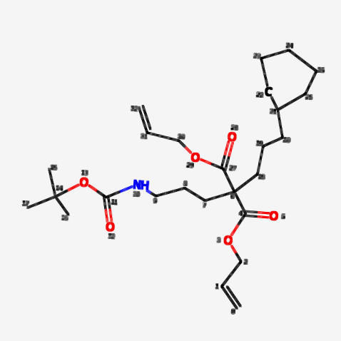 C=CCOC(=O)C(CCCNC(=O)OC(C)(C)C)(CCCC1CCCCC1)C(=O)OCC=C